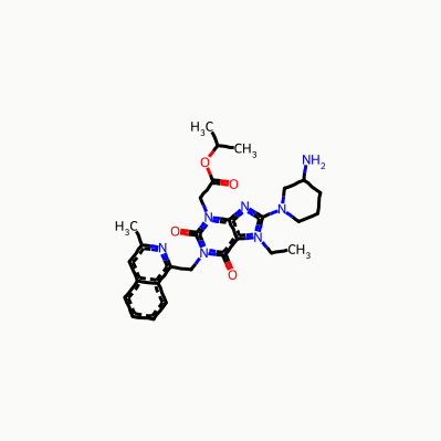 CCn1c(N2CCCC(N)C2)nc2c1c(=O)n(Cc1nc(C)cc3ccccc13)c(=O)n2CC(=O)OC(C)C